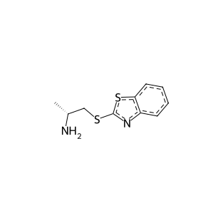 C[C@@H](N)CSc1nc2ccccc2s1